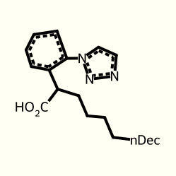 CCCCCCCCCCCCCCC(C(=O)O)c1ccccc1-n1ccnn1